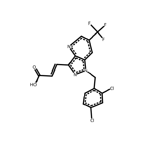 O=C(O)C=Cc1nn(Cc2ccc(Cl)cc2Cl)c2cc(C(F)(F)F)cnc12